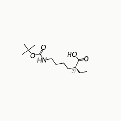 CC[C@@H](CCCCNC(=O)OC(C)(C)C)C(=O)O